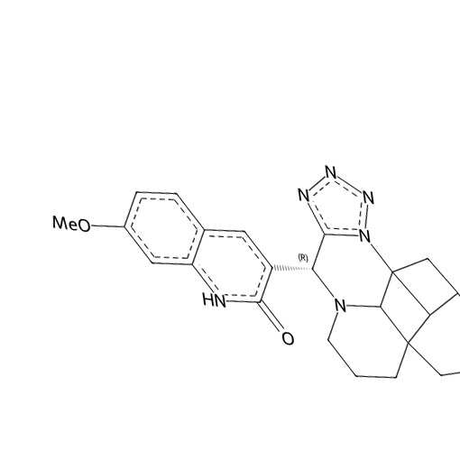 COc1ccc2cc([C@@H]3c4nnnn4C45CC6CCCC7(CCCN3C74)C65)c(=O)[nH]c2c1